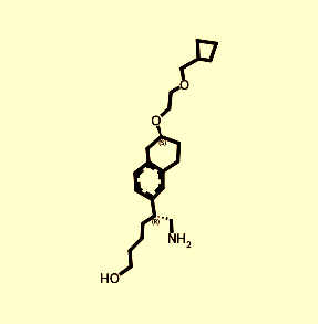 NC[C@H](CCCCO)c1ccc2c(c1)CC[C@H](OCCOCC1CCC1)C2